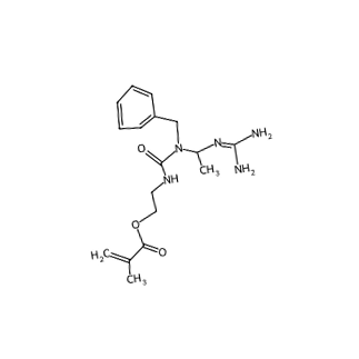 C=C(C)C(=O)OCCNC(=O)N(Cc1ccccc1)C(C)N=C(N)N